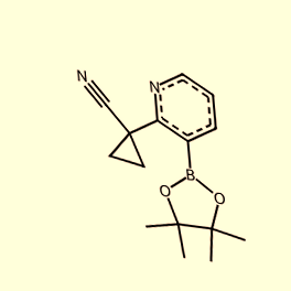 CC1(C)OB(c2cccnc2C2(C#N)CC2)OC1(C)C